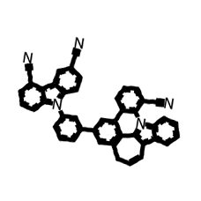 N#Cc1ccc2c(c1)c1c(C#N)cccc1n2-c1cccc(-c2cccc(-c3cccc(C#N)c3-n3c4c(c5ccccc53)C=CCCC4)c2)c1